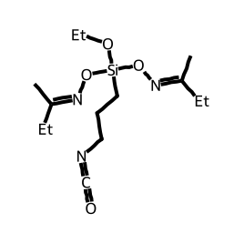 CCO[Si](CCCN=C=O)(ON=C(C)CC)ON=C(C)CC